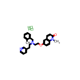 Cc1ccccc1CN(CCOc1ccc2c(ccc(=O)n2C)c1)CCc1cccnc1.Cl.Cl